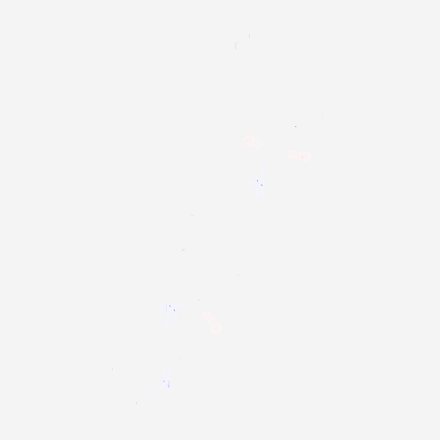 O=C(Nc1cccnc1)c1ccc(CNS(=O)(=O)c2cccc(C(F)(F)F)c2)cc1